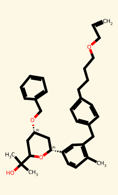 C=CCOCCCCc1ccc(Cc2cc([C@H]3C[C@@H](OCc4ccccc4)CC(C(C)(C)O)O3)ccc2C)cc1